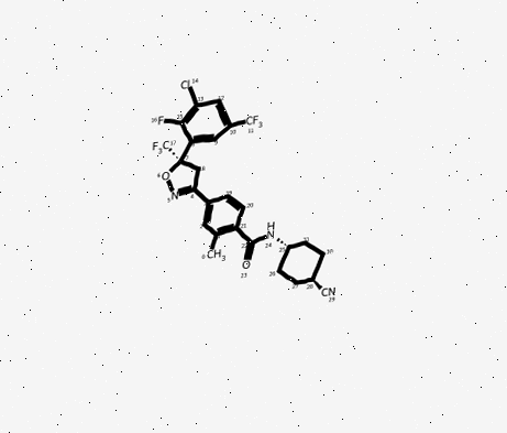 Cc1cc(C2=NO[C@](c3cc(C(F)(F)F)cc(Cl)c3F)(C(F)(F)F)C2)ccc1C(=O)N[C@H]1CC[C@H](C#N)CC1